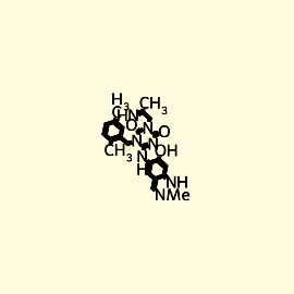 CN/C=C1/C=C(Nc2nc(=O)n(CC(C)=N)c(=O)n2Cc2cc(C)ccc2C)C(O)=CC1=N